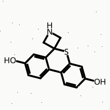 Oc1ccc2c(c1)SC1(CNC1)c1cc(O)ccc1-2